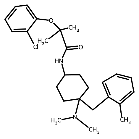 Cc1ccccc1CC1(N(C)C)CCC(NC(=O)C(C)(C)Oc2ccccc2Cl)CC1